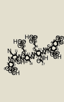 COc1cc2nc3c(C#N)c(C)c(N=Nc4cc(C)c(N=Nc5cc(NC(C)=O)c(N=Nc6nc7c(S(=O)(=O)O)cc8cc(S(=O)(=O)O)ccc8c7s6)cc5SCCCS(=O)(=O)O)cc4OCCCS(=O)(=O)O)c(O)n3c2cc1S(=O)(=O)O